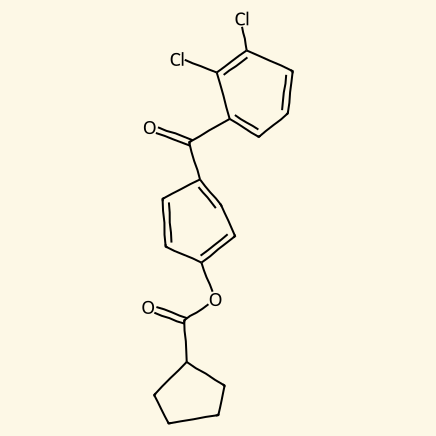 O=C(c1ccc(OC(=O)C2CCCC2)cc1)c1cccc(Cl)c1Cl